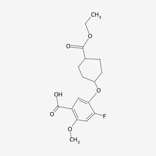 CCOC(=O)C1CCC(Oc2cc(C(=O)O)c(OC)cc2F)CC1